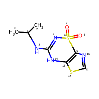 CC(C)NC1=NS(=O)(=O)c2ncsc2N1